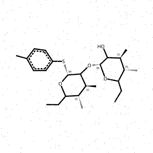 CCC1O[C@H](OC2[C@@H](Sc3ccc(C)cc3)OC(CC)[C@@H](C)[C@@H]2C)C(O)[C@@H](C)[C@@H]1C